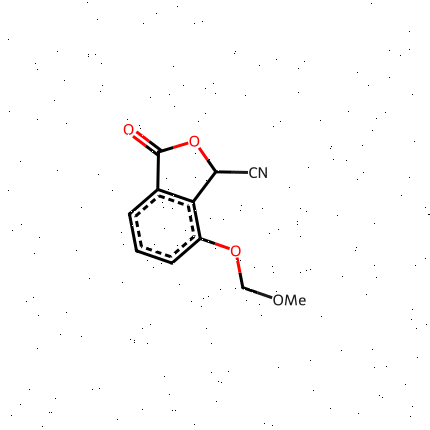 COCOc1cccc2c1C(C#N)OC2=O